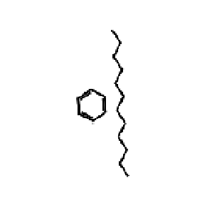 CCCCCCCCCCCC.[c]1ccccc1